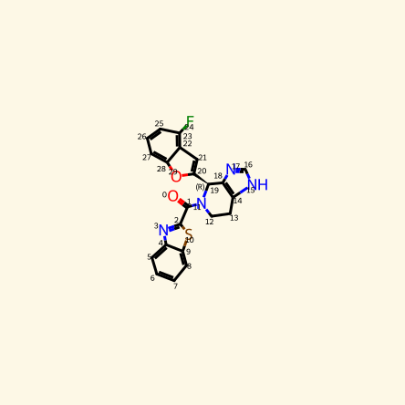 O=C(c1nc2ccccc2s1)N1CCc2[nH]cnc2[C@@H]1c1cc2c(F)cccc2o1